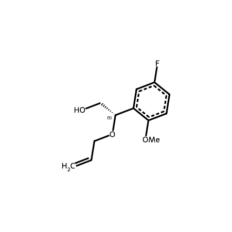 C=CCO[C@H](CO)c1cc(F)ccc1OC